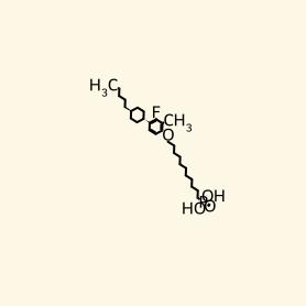 CCCCC[C@H]1CC[C@H](c2ccc(OCCCCCCCCCCCP(=O)(O)O)c(C)c2F)CC1